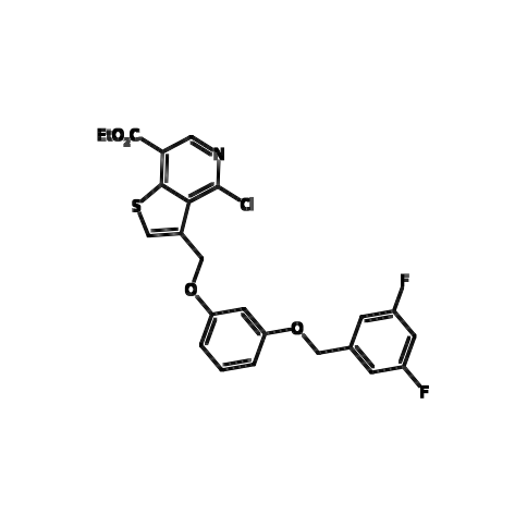 CCOC(=O)c1cnc(Cl)c2c(COc3cccc(OCc4cc(F)cc(F)c4)c3)csc12